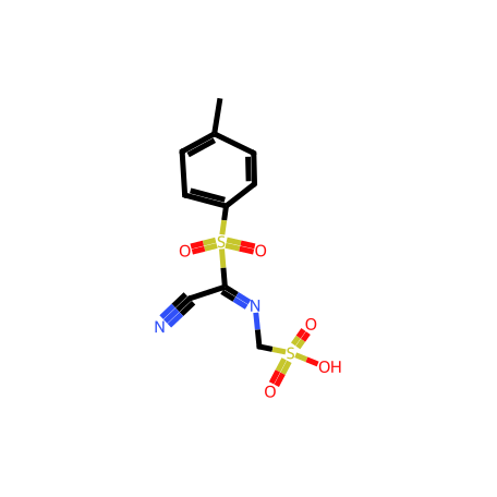 Cc1ccc(S(=O)(=O)/C(C#N)=N/CS(=O)(=O)O)cc1